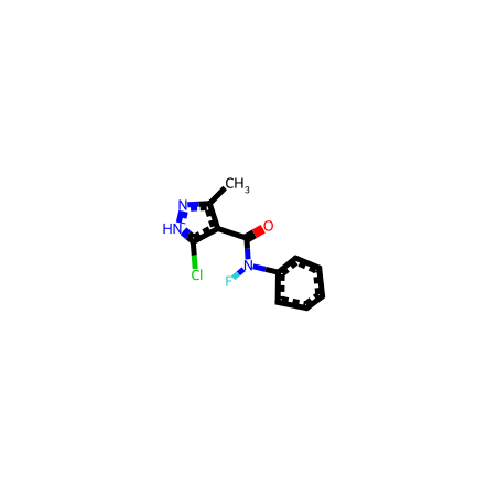 Cc1n[nH]c(Cl)c1C(=O)N(F)c1ccccc1